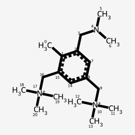 Cc1c(CN(C)C)cc(C[N+](C)(C)C)cc1C[N+](C)(C)C